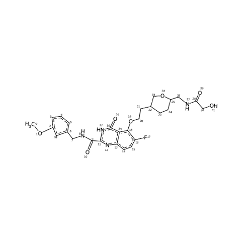 COc1cccc(CNC(=O)c2nc3ccc(F)c(OCCC4CCC(CNC(=O)CO)OC4)c3c(=O)[nH]2)c1